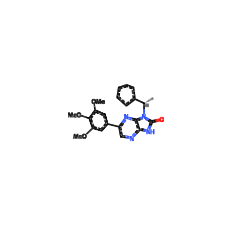 COc1cc(-c2cnc3[nH]c(=O)n([C@@H](C)c4ccccc4)c3n2)cc(OC)c1OC